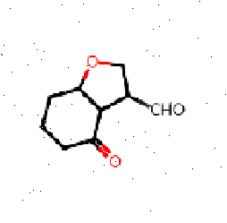 O=CC1COC2CCCC(=O)C12